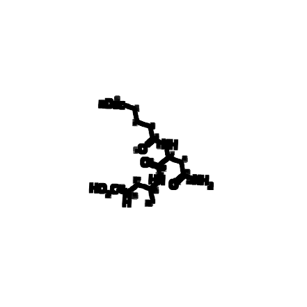 CCCCCCCCCCCCCC(=O)NC(CC(N)=O)C(=O)NC(C)CNC(=O)O